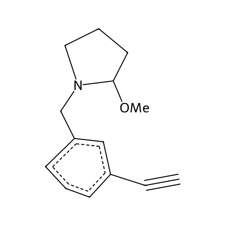 C#Cc1cccc(CN2CCCC2OC)c1